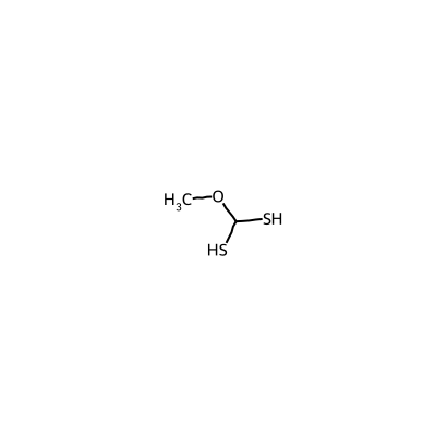 COC(S)S